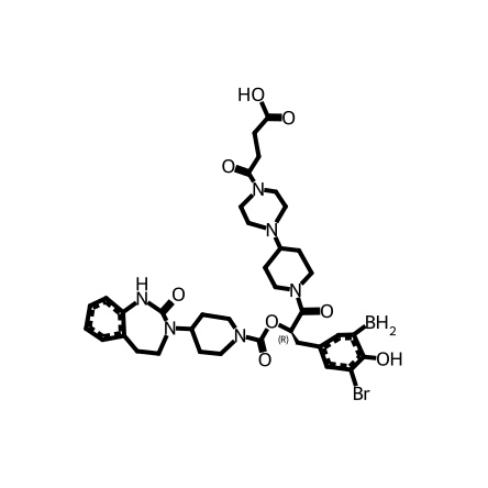 Bc1cc(C[C@@H](OC(=O)N2CCC(N3CCc4ccccc4NC3=O)CC2)C(=O)N2CCC(N3CCN(C(=O)CCC(=O)O)CC3)CC2)cc(Br)c1O